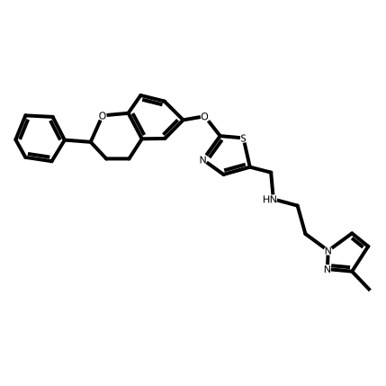 Cc1ccn(CCNCc2cnc(Oc3ccc4c(c3)CCC(c3ccccc3)O4)s2)n1